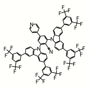 N#Cc1c(-n2c3ccc(-c4cc(C(F)(F)F)cc(C(F)(F)F)c4)cc3c3cc(-c4cc(C(F)(F)F)cc(C(F)(F)F)c4)ccc32)cc(-c2ccncc2)cc1-n1c2ccc(-c3cc(C(F)(F)F)cc(C(F)(F)F)c3)cc2c2cc(-c3cc(C(F)(F)F)cc(C(F)(F)F)c3)ccc21